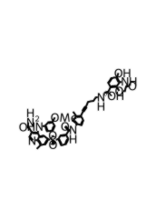 COc1cccc(Nc2c(C(N)=O)cnc3c(C)cc(S(=O)(=O)c4cccc(C(=O)Nc5ccc(C#CCCCNC[C@H](O)c6ccc(O)c7c6OCC(=O)N7)c(C)c5)c4)cc23)c1